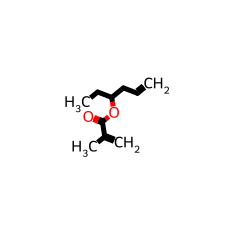 C=CCC(CC)OC(=O)C(=C)C